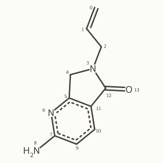 C=CCN1Cc2nc(N)ccc2C1=O